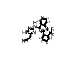 N#CCc1nc(Nc2nc(-c3ccccc3C(F)(F)F)nc3ccccc23)n[nH]1